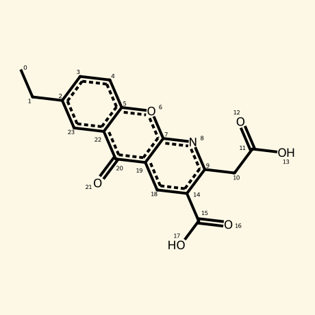 CCc1ccc2oc3nc(CC(=O)O)c(C(=O)O)cc3c(=O)c2c1